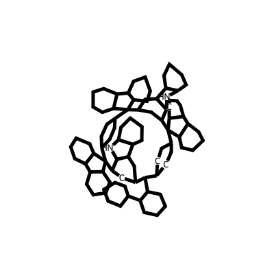 C1CCC(C2CCCCC2C2C3CCC(CC3)C3(C4CCCCC4C4CCCCC43)C3CC(CC4C5CCCCC5NC43)C3(C4CCC(CC4)C4(C5CCCCC5C5CCCCC54)C4CC2CC2C5CCCCC5NC24)C2CCCCC2C2CCCCC23)CC1